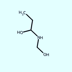 CCC(O)NCO